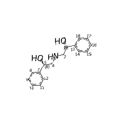 O[C@@H](CNC[C@H](O)c1ccccc1)c1ccccc1